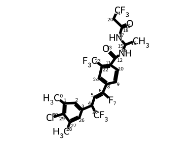 Cc1cc(C(/C=C(\F)c2ccc(C(=O)NC(C)NC(=O)CC(F)(F)F)c(C(F)(F)F)c2)C(F)(F)F)cc(C)c1Cl